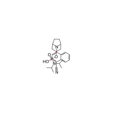 CC(C)N(C(C)C)P(=O)(O)OC1CC2CCC(C1)N2c1ccc(C#N)c2ccccc12